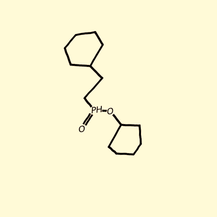 O=[PH](CCC1CCCCC1)OC1CCCCC1